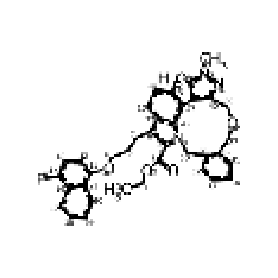 CCOC(=O)c1c(CCCOc2ccc(F)c3ccccc23)c2ccc(F)c3c2n1Cc1ccccc1COCc1nn(C)c(C)c1-3